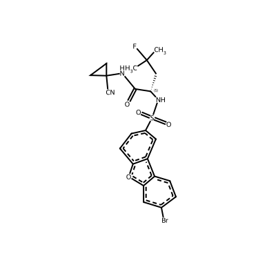 CC(C)(F)C[C@H](NS(=O)(=O)c1ccc2oc3cc(Br)ccc3c2c1)C(=O)NC1(C#N)CC1